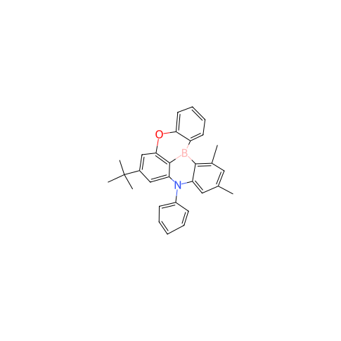 Cc1cc(C)c2c(c1)N(c1ccccc1)c1cc(C(C)(C)C)cc3c1B2c1ccccc1O3